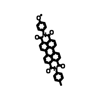 COc1ccc(N2C(=O)c3ccc4c5ccc6c7c(ccc(c8ccc(c3c48)C2=O)c75)C(=O)N(c2ccc(C)cc2)C6=O)cc1